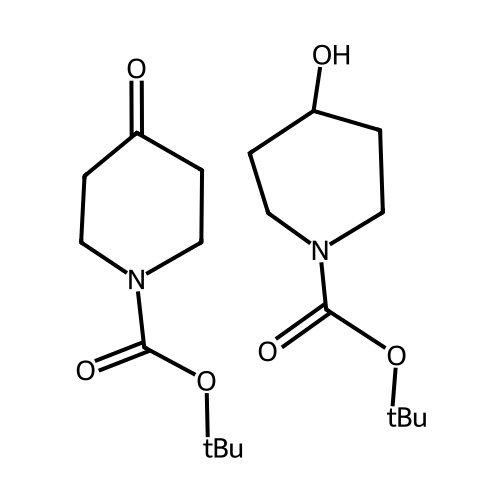 CC(C)(C)OC(=O)N1CCC(=O)CC1.CC(C)(C)OC(=O)N1CCC(O)CC1